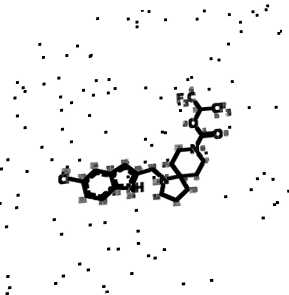 O=C(OC(C(F)(F)F)C(F)(F)F)N1CCC2(CCCN2Cc2cc3cc(Cl)ccc3[nH]2)CC1